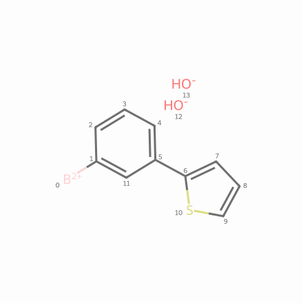 [B+2]c1cccc(-c2cccs2)c1.[OH-].[OH-]